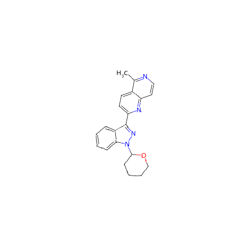 Cc1nccc2nc(-c3nn(C4CCCCO4)c4ccccc34)ccc12